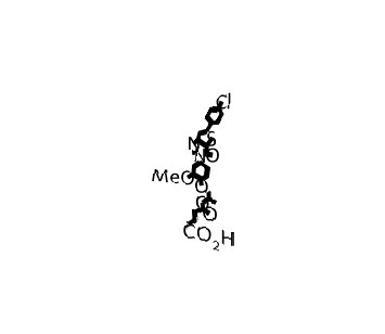 COc1cc(-n2cnc3cc(-c4ccc(Cl)cc4)sc3c2=O)ccc1OCC(C)OC(=O)CCCC(=O)O